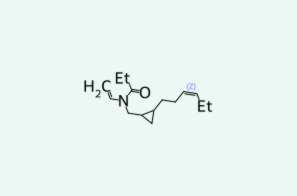 C=CN(CC1CC1CC/C=C\CC)C(=O)CC